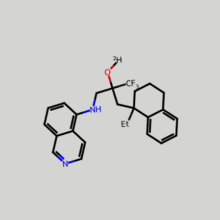 [2H]OC(CNc1cccc2cnccc12)(CC1(CC)CCCc2ccccc21)C(F)(F)F